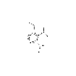 CCc1scc(C(C)C)c1C(C)C